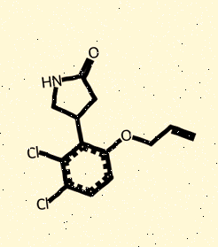 C=CCOc1ccc(Cl)c(Cl)c1C1CNC(=O)C1